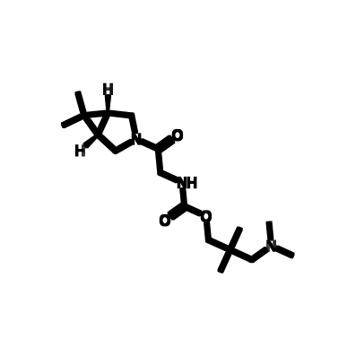 CN(C)CC(C)(C)COC(=O)NCC(=O)N1C[C@@H]2[C@H](C1)C2(C)C